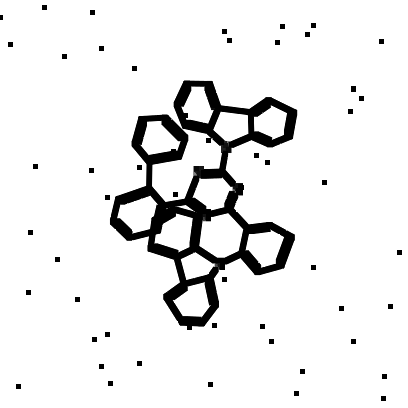 c1ccc(-c2ccccc2-c2nc(-c3ccccc3-n3c4ccccc4c4ccccc43)nc(-n3c4ccccc4c4ccccc43)n2)cc1